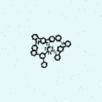 c1ccc(-c2cc(-c3ccccc3)cc(-c3nc(-n4c5ccccc5c5cc6c7ccccc7n(-c7ccccc7)c6cc54)nc(-n4c5ccccc5c5cc6c7ccccc7n(-c7ccccc7)c6cc54)n3)c2)cc1